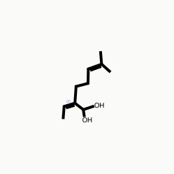 C/C=C(/CCC=C(C)C)C(O)O